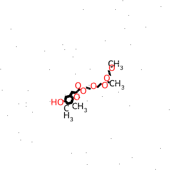 COCCOC(C)OCCOCCOC(=O)c1cc2cc(O)c(C)c(C)c2o1